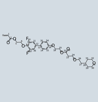 C=CC(=O)OCCOc1c(F)cc(-c2ccc(OCCOC(=O)CCOCCC3CCOCC3)cc2)cc1F